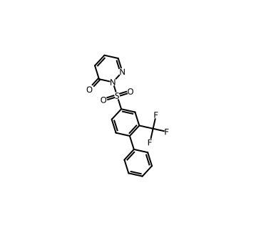 O=c1cccnn1S(=O)(=O)c1ccc(-c2ccccc2)c(C(F)(F)F)c1